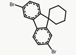 Brc1ccc2c(c1)-c1ccc(Br)cc1C21CCCCC1